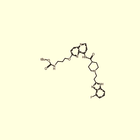 CC(C)(C)OC(=O)NCCCOc1ccc2nccc(NC(=O)C3CCN(CCc4nc5c(F)cccc5[nH]4)CC3)c2n1